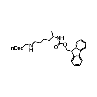 CCCCCCCCCCCNCCCCC(C)NC(=O)OCC1c2ccccc2-c2ccccc21